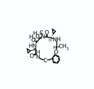 C[C@@H]1CN[C@@H](C2CC2)C(=O)N(C)[C@H](C)C(=O)N[C@H](C2CC2)C(=O)NCCCc2ccccc2O1